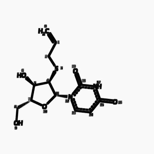 C=CCS[C@@H]1[C@H](O)[C@@H](CO)O[C@H]1n1ccc(=O)[nH]c1=O